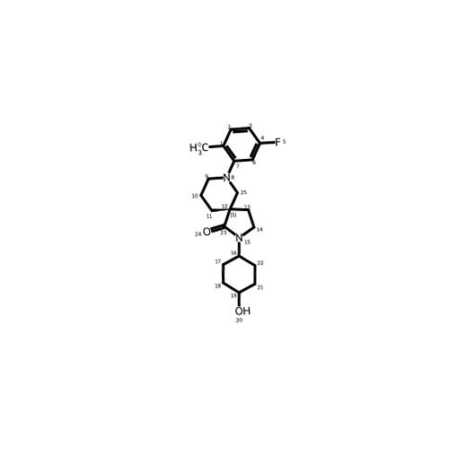 Cc1ccc(F)cc1N1CCC[C@]2(CCN(C3CCC(O)CC3)C2=O)C1